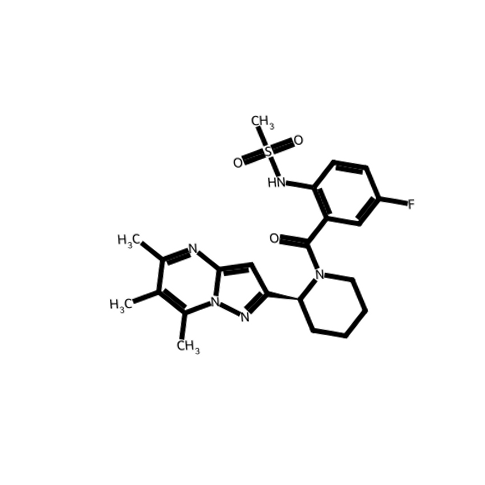 Cc1nc2cc([C@@H]3CCCCN3C(=O)c3cc(F)ccc3NS(C)(=O)=O)nn2c(C)c1C